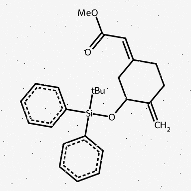 C=C1CCC(=CC(=O)OC)CC1O[Si](c1ccccc1)(c1ccccc1)C(C)(C)C